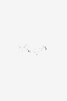 CS(=O)(=O)CC(=O)N1CC2(C1)OC(=O)c1cc(C3=NOC(c4cc(Cl)c(F)c(Cl)c4)(C(F)(F)F)C3)ccc12